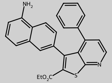 CCOC(=O)c1sc2nccc(-c3ccccc3)c2c1-c1ccc2c(N)cccc2c1